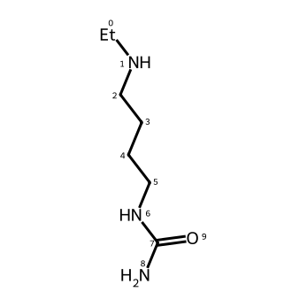 CCNCCCCNC(N)=O